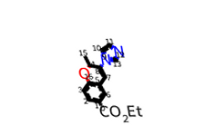 CCOC(=O)c1ccc2c(c1)C=C(n1ccnc1)C(C)O2